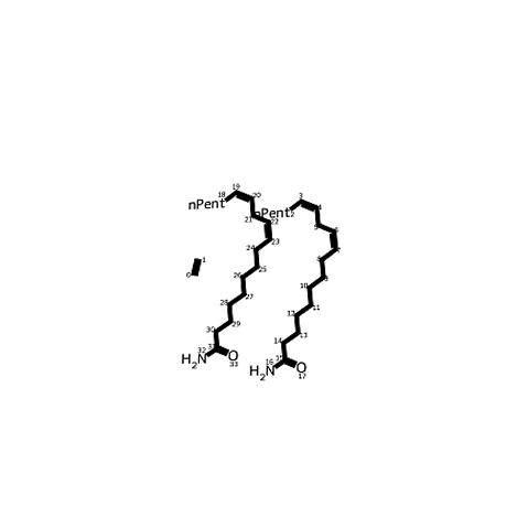 C=C.CCCCC/C=C\C/C=C\CCCCCCCC(N)=O.CCCCC/C=C\C/C=C\CCCCCCCC(N)=O